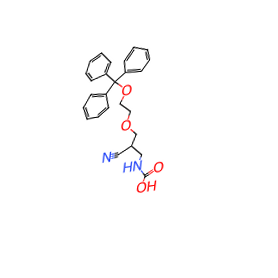 N#CC(CNC(=O)O)COCCOC(c1ccccc1)(c1ccccc1)c1ccccc1